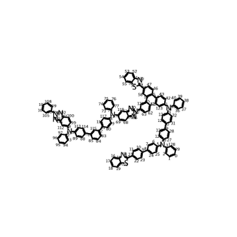 c1ccc(N(c2ccc(-c3ccc(-c4nc5ccccc5s4)cc3)cc2)c2ccc(-c3ccc(N(c4ccccc4)c4ccc(-c5ccc(-c6nc7ccccc7s6)cc5-c5cccc(-n6nc7ccc(N(c8ccccc8)c8ccc(-c9cccc(-c%10ccc(N(c%11ccccc%11)c%11ccc%12nn(-c%13ccccc%13)nc%12c%11)cc%10)c9)cc8)cc7n6)c5)cc4)cc3)cc2)cc1